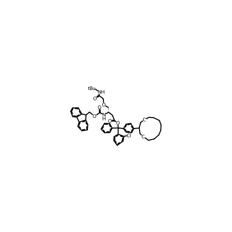 CC(C)(C)NC(=O)COC[C@H](CC(=O)OC(c1ccccc1)(c1ccc(C2CCCCCCCCCCCC2)cc1)c1ccccc1Cl)NC(=O)OCC1c2ccccc2-c2ccccc21